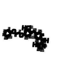 Cl.c1ccc(OCCOc2ccc(Cc3ccc(NC4=NCCN4)cc3)cc2)cc1